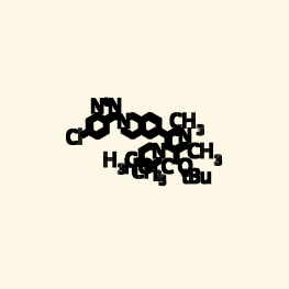 Cc1nc(C)c([C@H](OC(C)(C)C)C(=O)O)c(N2CCC(C)(C)CC2)c1-c1ccc2c(c1)CCN(c1ncnc3cc(Cl)ccc13)C2